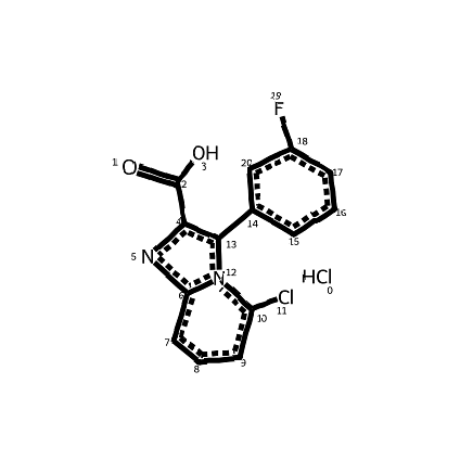 Cl.O=C(O)c1nc2cccc(Cl)n2c1-c1cccc(F)c1